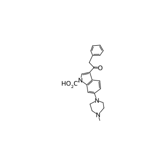 CN1CCN(c2ccc3c(C(=O)Cc4ccccc4)cn(C(=O)O)c3c2)CC1